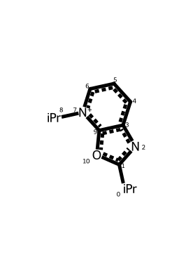 CC(C)c1nc2ccc[n+](C(C)C)c2o1